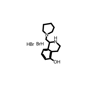 Br.Br.Oc1cccc2c1CCNC2CN1CCCCC1